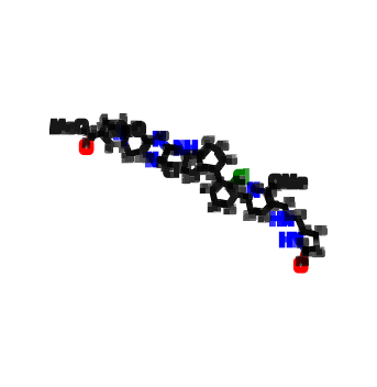 COC(=O)C12CCC(CC1)N(Cc1nc(C(F)(F)F)c(N[C@H]3CCc4c(-c5cccc(-c6ccc(CNCC7CCC(=O)N7)c(OC)n6)c5Cl)cccc43)nc1OC)C2